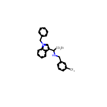 CCOC(=O)C(NCc1cccc(C(F)(F)F)c1)c1cn(Cc2ccccc2)c2ccccc12